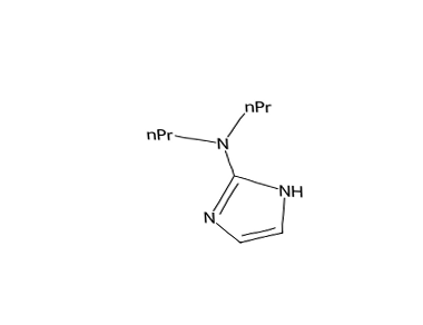 CCCN(CCC)c1ncc[nH]1